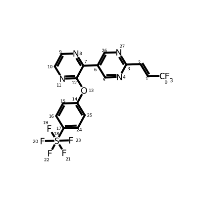 FC(F)(F)/C=C/c1ncc(-c2nccnc2Oc2ccc(S(F)(F)(F)(F)F)cc2)cn1